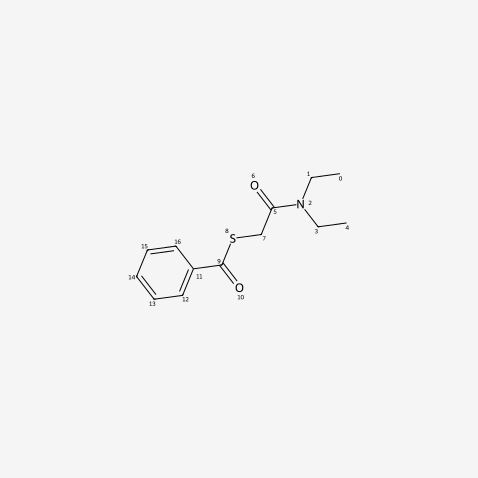 CCN(CC)C(=O)CSC(=O)c1ccccc1